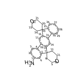 Nc1ccc2c(c1)C1(CCOCC1)c1cc3c(cc1-2)C1(CCOCC1)c1ccccc1-3